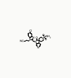 N#CCCCn1c(CN2C(=O)C3(CCN(S(N)(=O)=O)CC3)c3ccncc32)nc2cc(Cl)ccc21